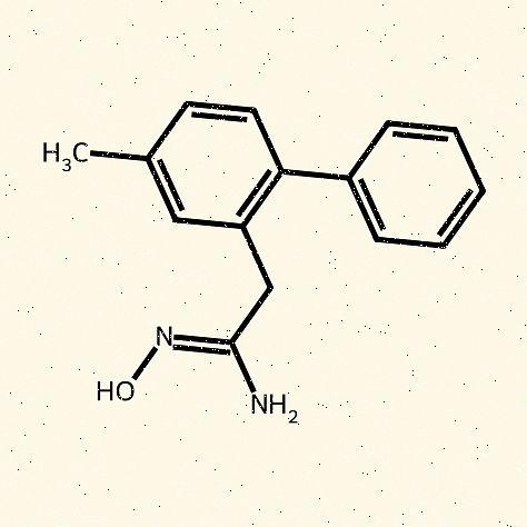 Cc1ccc(-c2ccccc2)c(CC(N)=NO)c1